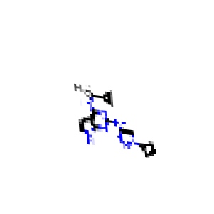 C[C@H](Nc1nc(Nc2cn(C3CCC3)nn2)nc2[nH]ccc12)C1CC1